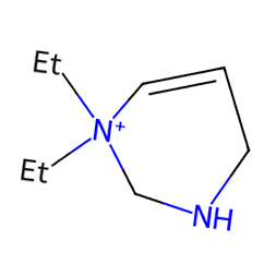 CC[N+]1(CC)C=CCNC1